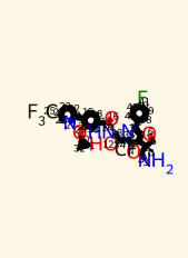 C[C@]1(C(N)=O)COc2c1cc(C(O)(CNC(=O)c1ccc(-c3ccc(C(F)(F)F)cn3)c(OC3CC3)c1)C(F)(F)F)nc2-c1ccc(F)cc1